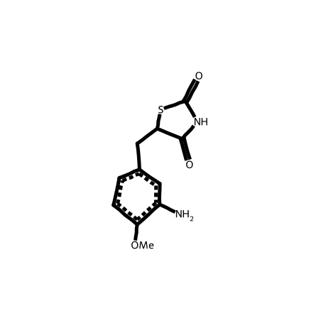 COc1ccc(CC2SC(=O)NC2=O)cc1N